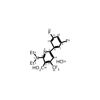 CCN(CC)c1nc(-c2cc(F)cc(F)c2)cc(C(F)(F)F)c1C(=O)O.Cl